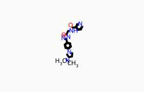 CN(C)C1CCN(c2ccc(-c3noc(CNC(=O)c4cccnc4)n3)cc2)C1